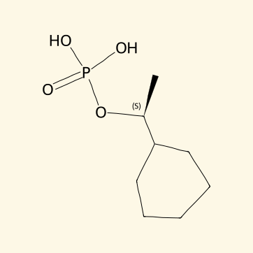 C[C@H](OP(=O)(O)O)C1CCCCC1